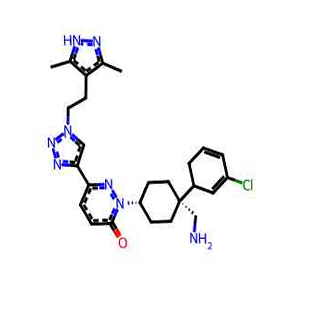 Cc1n[nH]c(C)c1CCn1cc(-c2ccc(=O)n([C@H]3CC[C@](CN)(C4C=C(Cl)C=CC4)CC3)n2)nn1